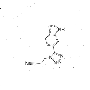 N#CCCn1nnnc1-c1ccc2cc[nH]c2c1